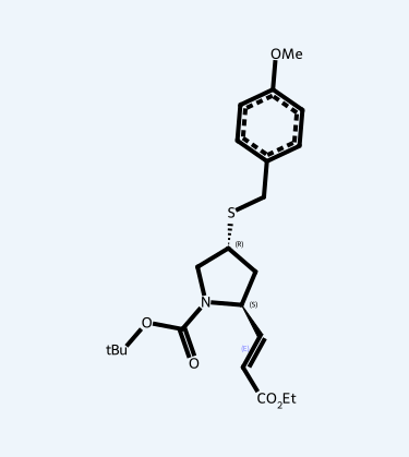 CCOC(=O)/C=C/[C@@H]1C[C@@H](SCc2ccc(OC)cc2)CN1C(=O)OC(C)(C)C